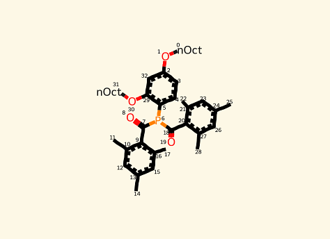 CCCCCCCCOc1ccc(P(C(=O)c2c(C)cc(C)cc2C)C(=O)c2c(C)cc(C)cc2C)c(OCCCCCCCC)c1